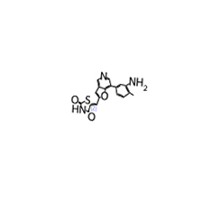 Cc1ccc(-c2cncc3cc(/C=C4\SC(=O)NC4=O)oc23)cc1N